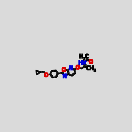 CC(=O)N[C@@H](C)COc1ccc2nc(-c3ccc(OCC4CC4)cc3)oc2n1